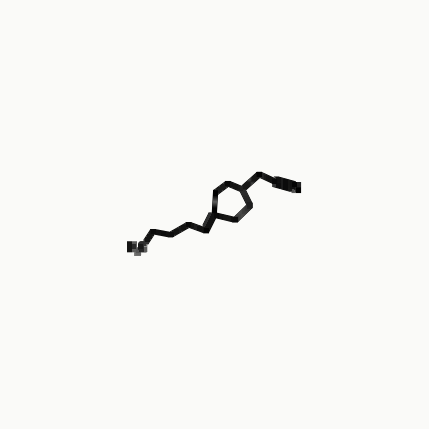 CCCCC=C1CCC(CC#N)CC1